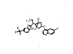 CCC(c1nc2cc(C(F)(F)F)ccc2[nH]1)[C@H]1[C@@H]2C[C@@H](Oc3ccnc4ccc(F)cc34)C[C@@H]21